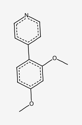 COc1ccc(-c2ccncc2)c(OC)c1